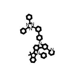 CC1(C)c2ccccc2-c2c1c1ccc3c(c4cc(-c5ccccn5)ccc4n3-c3ccc(-c4cccc(-c5nc(-c6ccccc6)nc(-c6ccccc6)n5)c4)cc3)c1n2-c1ccccc1